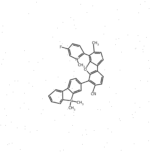 Cc1ccc2c(oc3c(-c4ccc5c(c4)[Si](C)(C)c4ccccc4-5)c(C#N)ccc32)c1-c1ccc(F)c[n+]1C